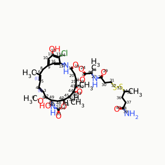 CO[C@@H]1/C=C/C=C(\C)Cc2cc(O)c(Cl)c(c2)NC(=O)C[C@H](OC(=O)[C@H](C)NC(=O)CCSSC(C)CCC(N)=O)[C@]2(C)O[C@H]2[C@H](C)[C@@H]2C[C@@]1(O)NC(=O)O2